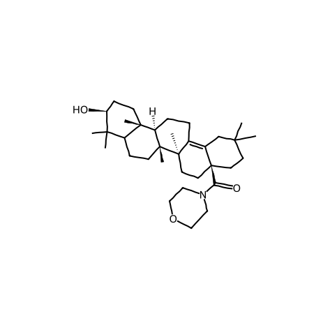 CC1(C)CC[C@]2(C(=O)N3CCOCC3)CC[C@]3(C)C(=C2C1)CC[C@@H]1[C@@]2(C)CC[C@H](O)C(C)(C)C2CC[C@]13C